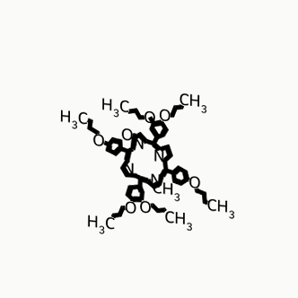 CCCCOc1ccc(-c2c3nc(c(-c4ccc(OCCCC)c(OCCCC)c4)c4ccc(c(-c5ccc(OCCCC)cc5)c5nc(c(-c6ccc(OCCCC)c(OCCCC)c6)c6ccc2n6C)C=C5)n4C=O)C=C3)cc1